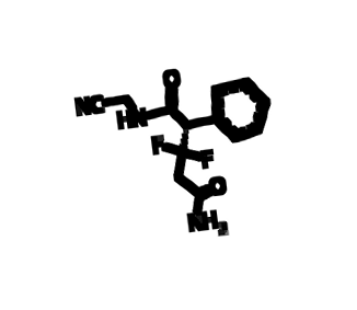 N#CCNC(=O)[C@H](c1ccccc1)C(F)(F)CC(N)=O